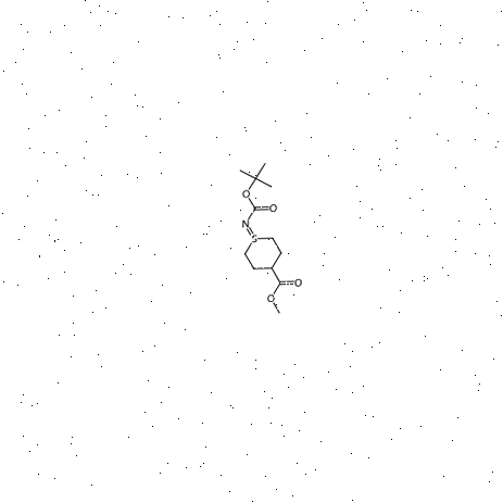 COC(=O)C1CCS(=NC(=O)OC(C)(C)C)CC1